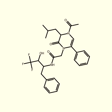 CC(=O)N1C=C(c2ccccc2)N(CC(=O)NC(Cc2ccccc2)C(O)C(F)(F)F)C(=O)C1CC(C)C